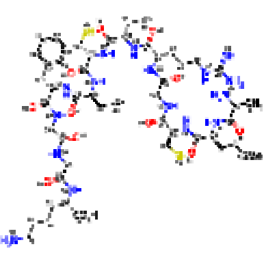 CSCC[C@H](NC(=O)[C@H](C)N)C(=O)N[C@@H](CS)C(=O)NCC(=O)N[C@@H](CCCNC(=N)N)C(=O)N[C@@H](CC(C)C)C(=O)N[C@@H](CS)C(=O)N[C@@H](CC(C)C)C(=O)N[C@@H](Cc1ccccc1)C(=O)NCC(=O)NCC(=O)N[C@@H](CCCCN)C(=O)O